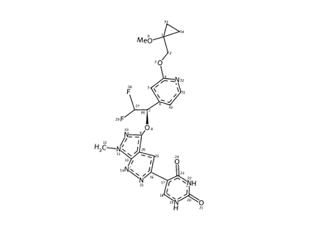 COC1(COc2cc([C@@H](Oc3nn(C)c4nnc(-c5c[nH]c(=O)[nH]c5=O)cc34)C(F)F)ccn2)CC1